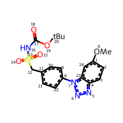 COc1ccc2nnn(-c3ccc(CS(=O)(=O)NC(=O)OC(C)(C)C)cc3)c2c1